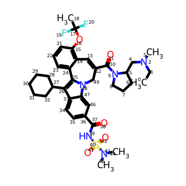 CCN(C)CC1CCCN1C(=O)C1=Cc2c(OC(C)(F)F)cccc2-c2c(C3CCCCC3)c3ccc(C(=O)NS(=O)(=O)N(C)C)cc3n2C1